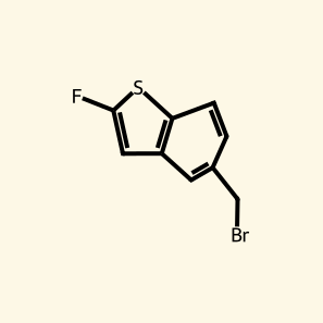 Fc1cc2cc(CBr)ccc2s1